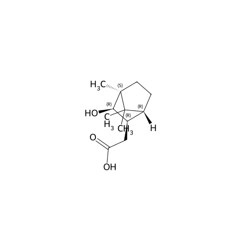 CC1(C)[C@@H]2CC[C@]1(C)[C@H](O)[C@@H]2CC(=O)O